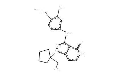 CC(C)(C)c1cc(Nc2nn(C3(CC#N)CCCC3)c3cc[nH]c(=O)c23)ccc1C(=O)O